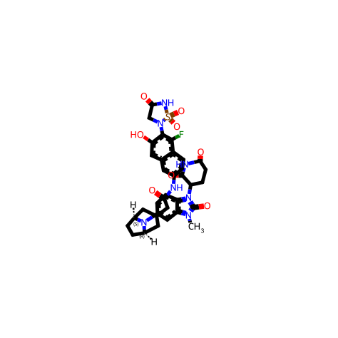 Cn1c(=O)n(C2CCC(=O)NC2=O)c2ccc(N3[C@@H]4CC[C@H]3CC(CC(=O)Nc3ccc5c(F)c(N6CC(=O)NS6(=O)=O)c(O)cc5c3)C4)cc21